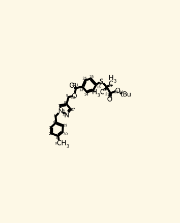 Cc1ccc(Cn2cc(COC(=O)c3ccc(SC(C)(C)C(=O)OC(C)(C)C)cc3)cn2)cc1